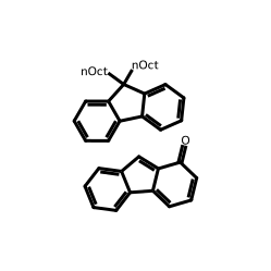 CCCCCCCCC1(CCCCCCCC)c2ccccc2-c2ccccc21.O=C1C=CC=C2C1=Cc1ccccc12